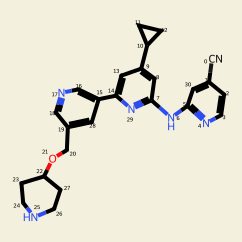 N#Cc1ccnc(Nc2cc(C3CC3)cc(-c3cncc(COC4CCNCC4)c3)n2)c1